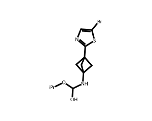 CC(C)OC(O)NC12CC(c3ncc(Br)s3)(C1)C2